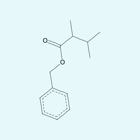 CC(C)C(C)C(=O)OCc1ccccc1